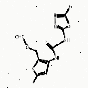 CCc1nnc(NC(=O)Nc2cc(C)sc2COC=O)s1